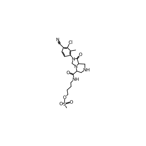 Cc1c(N2CN3C(C(=O)NCCCCOS(C)(=O)=O)CNCC3C2=O)ccc(C#N)c1Cl